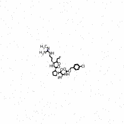 C/N=C(\N)NCCC[C@H](NC(=O)[C@@H]1CCCN1C(=O)[C@@H](NC(=O)OCc1ccc(Cl)cc1)C(C)C)C(=O)CF